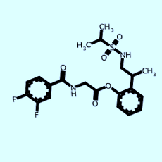 CC(CNS(=O)(=O)C(C)C)c1ccccc1OC(=O)CNC(=O)c1ccc(F)c(F)c1